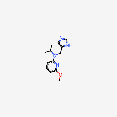 COc1cccc(N(Cc2cnc[nH]2)C(C)C)n1